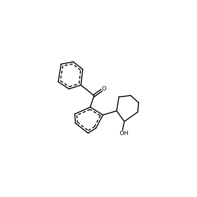 O=C(c1ccccc1)c1ccccc1C1CCCCC1O